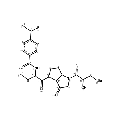 CCN(CC)c1ccc(C(=O)NC(CC(C)C)C(=O)N2CCC3C2C(=O)CN3C(=O)C(O)CC(C)(C)C)cc1